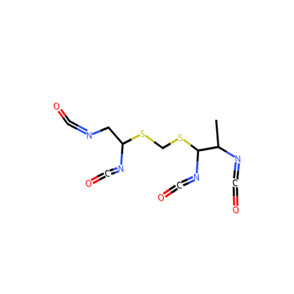 CC(N=C=O)C(N=C=O)SCSC(CN=C=O)N=C=O